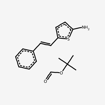 CC(C)(C)OC=O.Nc1ccc(C=Cc2ccccc2)s1